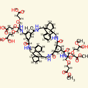 C=C1NCc2c3c(c(c4ccccc24)CNC(=O)C2=CC(=CC(C(=O)NC(COCCC(=O)OC)(COCCC(O)OC)OCC(=O)OC)C2)C(=O)NCC2C4=C(CCC=C4)C(CNC(=O)c4cc(CNC(COCCC(=O)O)(COCCC(O)O)OCCC(=O)O)cc1c4)C1C=CC=CC21)C=CCC3